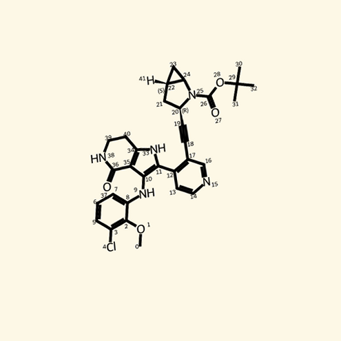 COc1c(Cl)cccc1Nc1c(-c2ccncc2C#C[C@H]2C[C@@H]3CC3N2C(=O)OC(C)(C)C)[nH]c2c1C(=O)NCC2